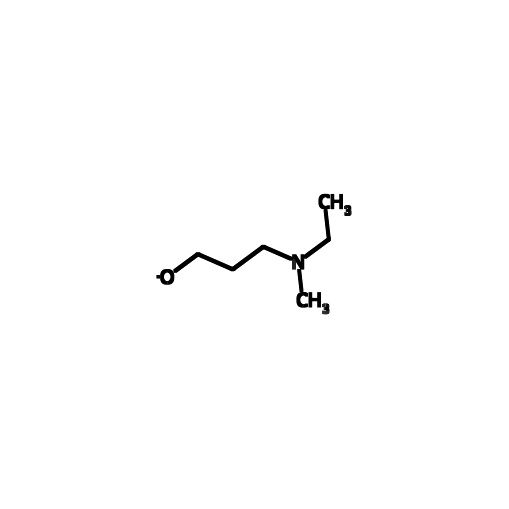 CCN(C)CCC[O]